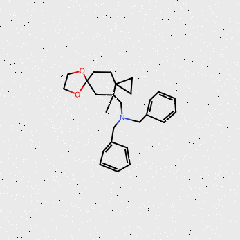 CC1(CN(Cc2ccccc2)Cc2ccccc2)CC2(CCC13CC3)OCCO2